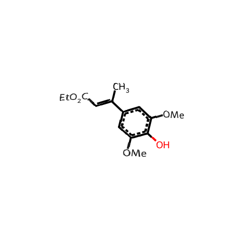 CCOC(=O)C=C(C)c1cc(OC)c(O)c(OC)c1